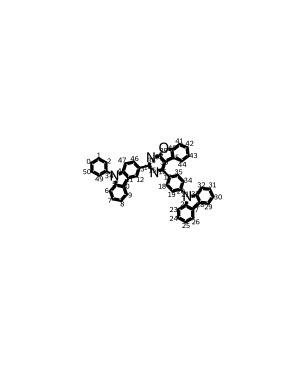 c1ccc(-n2c3ccccc3c3cc(-c4nc(-c5ccc(-n6c7ccccc7c7ccccc76)cc5)c5c(n4)oc4ccccc45)ccc32)cc1